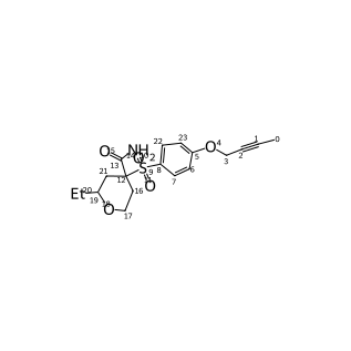 CC#CCOc1ccc(S(=O)(=O)C2(C(N)=O)CCOC(CC)C2)cc1